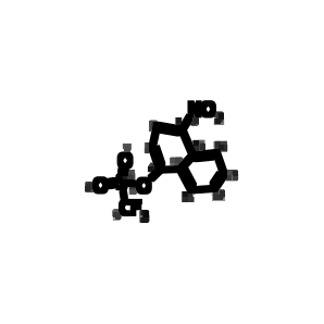 O=[N+]([O-])c1ccc(OS(=O)(=O)C(F)(F)F)c2ccccc12